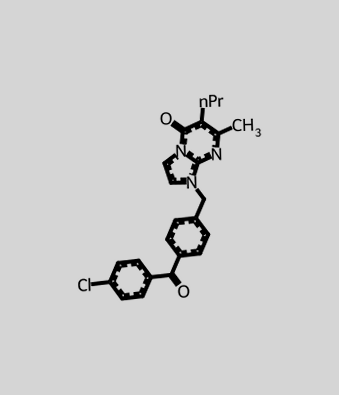 CCCc1c(C)nc2n(Cc3ccc(C(=O)c4ccc(Cl)cc4)cc3)ccn2c1=O